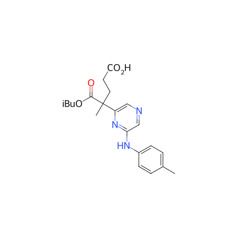 Cc1ccc(Nc2cncc(C(C)(CCC(=O)O)C(=O)OCC(C)C)n2)cc1